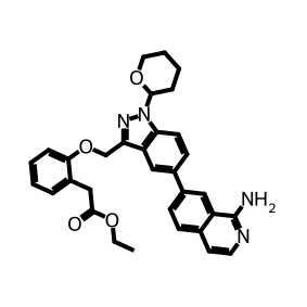 CCOC(=O)Cc1ccccc1OCc1nn(C2CCCCO2)c2ccc(-c3ccc4ccnc(N)c4c3)cc12